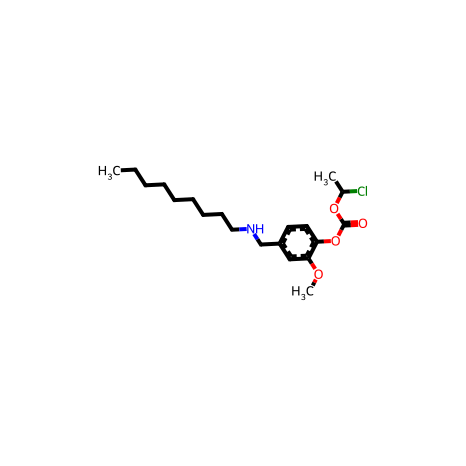 CCCCCCCCCNCc1ccc(OC(=O)OC(C)Cl)c(OC)c1